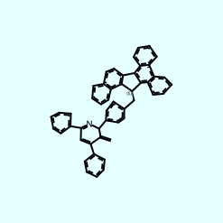 C=C1C(c2ccccc2)=CC(c2ccccc2)=NC1c1ccc(C[C@H]2c3c(ccc4ccccc34)-c3c2c2ccccc2c2ccccc32)cc1